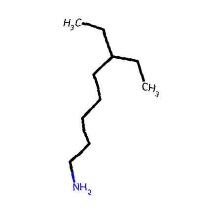 CCC(CC)CCCCCN